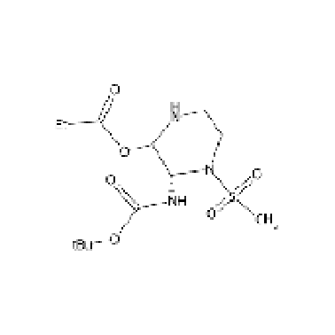 CCC(=O)OC1NCCN(S(C)(=O)=O)[C@@H]1NC(=O)OC(C)(C)C